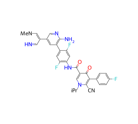 CN/C=C(\C=N)c1cnc(N)c(-c2cc(F)c(NC(=O)c3cn(C(C)C)c(C#N)c(-c4ccc(F)cc4)c3=O)cc2F)c1